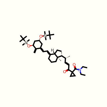 C=C1/C(=C/C=C2\CCC[C@]3(C)[C@@H]([C@H](C)/C=C/C(=O)C4(C(=O)N(CC)CC)CC4)CC[C@@H]23)C[C@@H](O[Si](C)(C)C(C)(C)C)C[C@@H]1O[Si](C)(C)C(C)(C)C